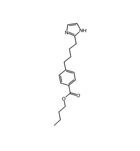 CCCCOC(=O)c1ccc(CCCCc2ncc[nH]2)cc1